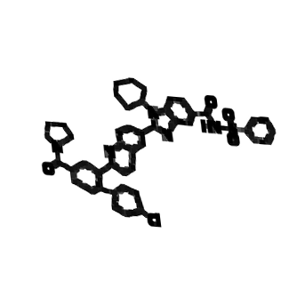 O=C(NS(=O)(=O)c1ccccc1)c1ccc2c(c1)nc(-c1ccc3nc(-c4cc(C(=O)N5CCCC5)ccc4-c4ccc(Cl)cc4)ccc3c1)n2C1CCCCC1